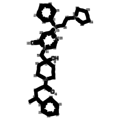 CC(CC(=O)N1CCC(O)(Cn2cnc(N(CCN3CCCC3)c3ccccc3)cc2=O)CC1)c1ccccc1